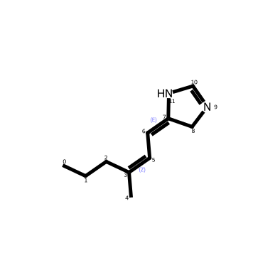 CCC/C(C)=C\C=C1/CN=CN1